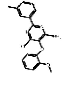 COc1ccccc1Oc1c(N)nc(-c2cccc(C)c2)nc1Cl